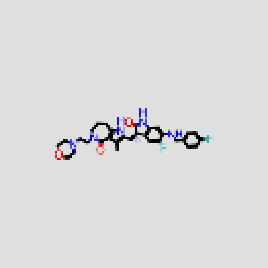 Cc1c(/C=C2\C(=O)Nc3cc(NCc4ccc(F)cc4)c(F)cc32)[nH]c2c1C(=O)N(CCN1CCOCC1)CCC2